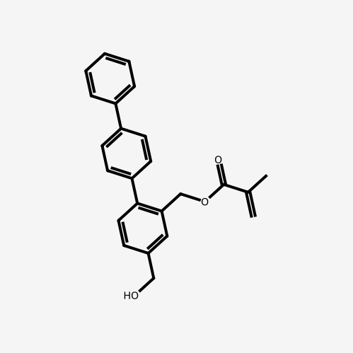 C=C(C)C(=O)OCc1cc(CO)ccc1-c1ccc(-c2ccccc2)cc1